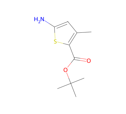 Cc1cc(N)sc1C(=O)OC(C)(C)C